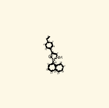 C=Cc1ccc(C2=CNN(c3cccc4ccccc34)O2)cc1